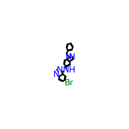 Brc1ccc2ncnc(Nc3ccc4c(cnn4Cc4ccccc4)c3)c2c1